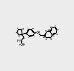 ONCC1(c2ccc(OCc3ccc4ccccc4n3)cc2)CCCC1